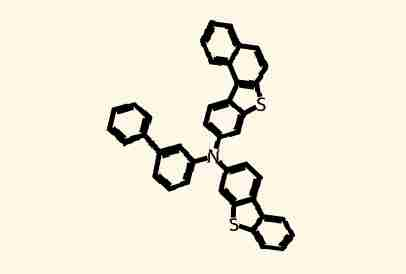 c1ccc(-c2cccc(N(c3ccc4c(c3)sc3ccccc34)c3ccc4c(c3)sc3ccc5ccccc5c34)c2)cc1